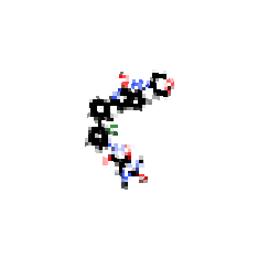 COc1nc(-c2cccc(-c3cccc(NC(=O)c4cn(C)c(=O)n(C)c4=O)c3Cl)c2C)cc2c1[C@@H](NC1CCOCC1)CC2